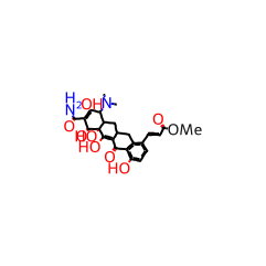 COC(=O)/C=C/c1ccc(O)c2c1CC1CC3C(N(C)C)C(O)=C(C(N)=O)C(=O)C3(O)C(O)=C1C2=O